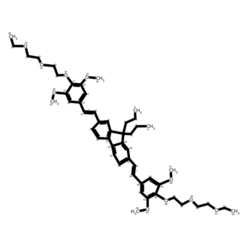 CCCC1(CCC)c2cc(/C=C/c3cc(OC)c(OCCOCCOCC)c(OC)c3)ccc2-c2ccc(/C=C/c3cc(OC)c(OCCOCCOCC)c(OC)c3)cc21